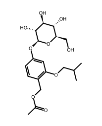 CC(=O)OCc1ccc(O[C@@H]2O[C@H](CO)[C@@H](O)[C@H](O)[C@H]2O)cc1OCC(C)C